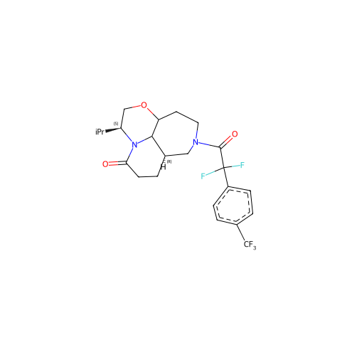 CC(C)[C@H]1COC2CCN(C(=O)C(F)(F)c3ccc(C(F)(F)F)cc3)C[C@H]3CCC(=O)N1C23